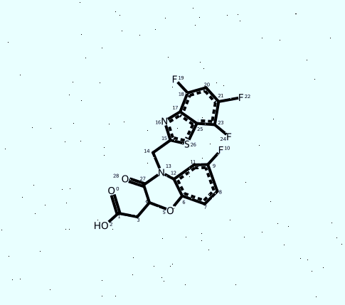 O=C(O)CC1Oc2ccc(F)cc2N(Cc2nc3c(F)cc(F)c(F)c3s2)C1=O